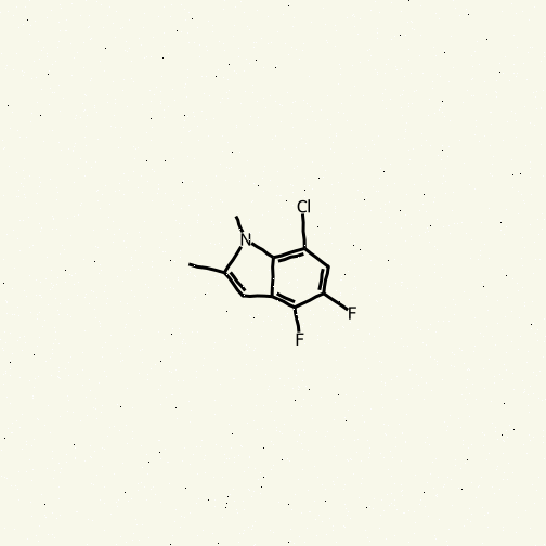 Cc1cc2c(F)c(F)cc(Cl)c2n1C